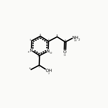 CC(O)c1nccc(CC(N)=O)n1